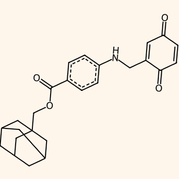 O=C1C=CC(=O)C(CNc2ccc(C(=O)OCC34CC5CC(CC(C5)C3)C4)cc2)=C1